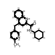 Cc1ccc(Cc2cc(C(=O)NC3CCCCC3)nc3ccccc23)cn1